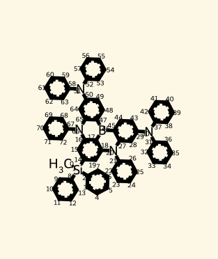 C[Si](c1ccccc1)(c1ccccc1)c1cc2c3c(c1)N(c1ccccc1)c1cc(N(c4ccccc4)c4ccccc4)ccc1B3c1ccc(N(c3ccccc3)c3ccccc3)cc1N2c1ccccc1